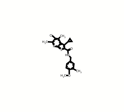 COc1ccc(CNC(=O)c2sc3nc(C)c(Cl)c(C)c3c2C2CC2)cc1C